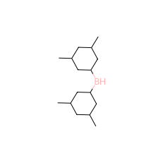 CC1CC(C)CC(BC2CC(C)CC(C)C2)C1